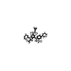 CS(=O)(=O)c1cc(C2CCCOC2)ccc1Nc1cc(NC(=O)C2CC2)nc2c1nc(C(F)F)n2C1CCCCO1